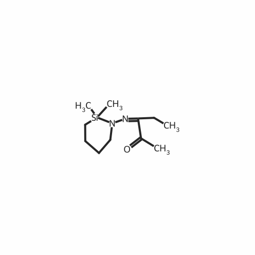 CCC(=NN1CCCC[Si]1(C)C)C(C)=O